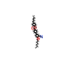 CCCCCCCOc1ccc(-c2ccc(C(=O)Oc3ccc(CCCCC)cc3)cc2)cc1C#N